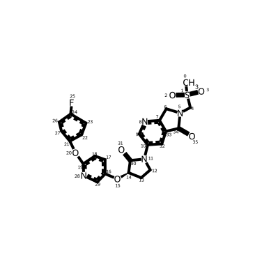 CS(=O)(=O)CN1Cc2ncc(N3CC[C@@H](Oc4ccc(Oc5ccc(F)cc5)nc4)C3=O)cc2C1=O